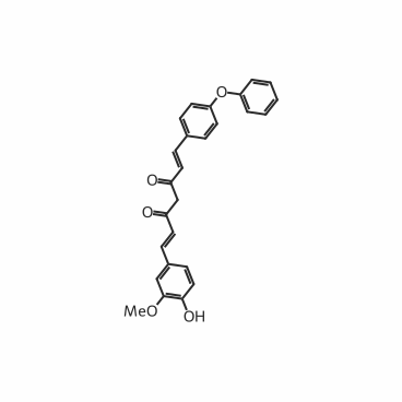 COc1cc(/C=C/C(=O)CC(=O)/C=C/c2ccc(Oc3ccccc3)cc2)ccc1O